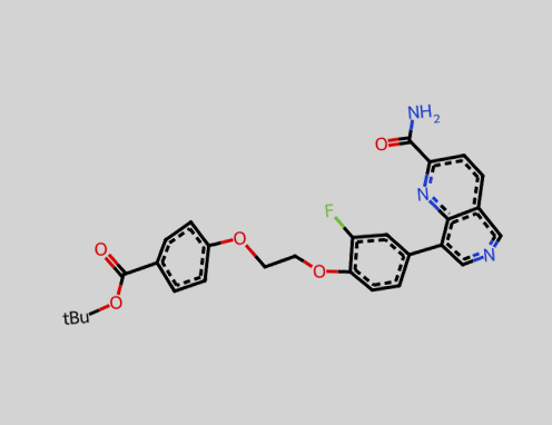 CC(C)(C)OC(=O)c1ccc(OCCOc2ccc(-c3cncc4ccc(C(N)=O)nc34)cc2F)cc1